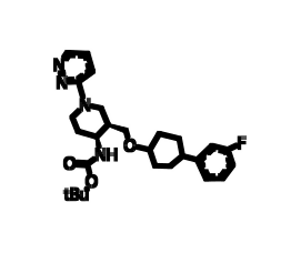 CC(C)(C)OC(=O)N[C@H]1CCN(c2cccnn2)C[C@H]1COC1CCC(c2cccc(F)c2)CC1